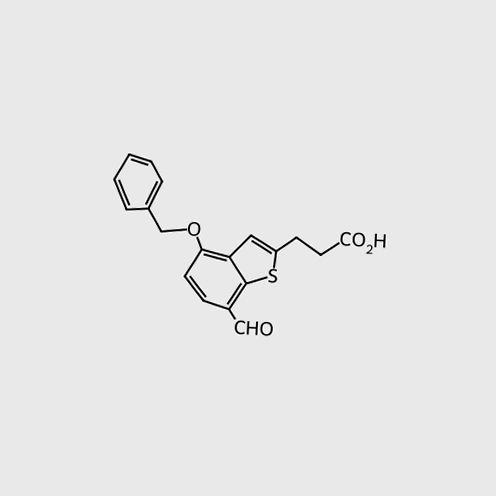 O=Cc1ccc(OCc2ccccc2)c2cc(CCC(=O)O)sc12